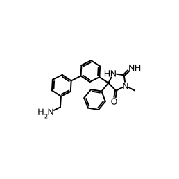 CN1C(=N)NC(c2ccccc2)(c2cccc(-c3cccc(CN)c3)c2)C1=O